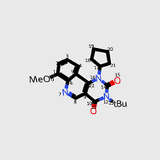 COc1cccc2c1ncc1c(=O)n(C(C)(C)C)c(=O)n(C3CCCC3)c12